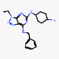 CCn1nnc2c(NCc3ccccc3)nc(NC3CCC(N)CC3)nc21